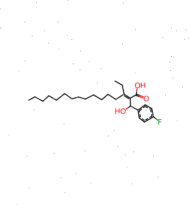 CCCCCCCCCCCCCC(CC)=C(C(=O)O)C(O)c1ccc(F)cc1